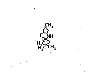 CN1C[C@H](F)[C@H](NC(=O)OC(C)(C)C)C1